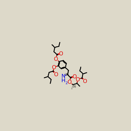 CCC(C)CC(=O)Oc1ccc(C[C@H](N)C(=O)O[C@@H](C)C(C)OC(=O)C(C)CC)cc1OC(=O)CC(C)CC